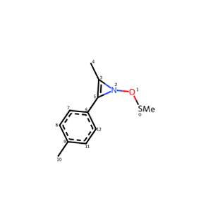 CSON1C(C)=C1c1ccc(C)cc1